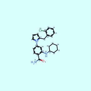 NC(=O)c1ccc(-n2cccc2Cc2ccccc2Cl)cc1NC1CCCCC1